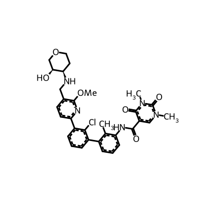 COc1nc(-c2cccc(-c3cccc(NC(=O)c4cn(C)c(=O)n(C)c4=O)c3C)c2Cl)ccc1CN[C@@H]1CCOC[C@@H]1O